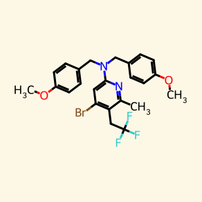 COc1ccc(CN(Cc2ccc(OC)cc2)c2cc(Br)c(CC(F)(F)F)c(C)n2)cc1